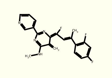 C=c1c(NC)nc(-c2cccnc2)n/c1=C(F)/C=C(\C)c1ccc(F)cc1F